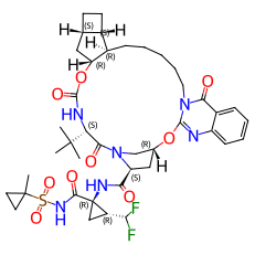 CC(C)(C)[C@@H]1NC(=O)O[C@@H]2C[C@@H]3CC[C@@H]3[C@H]2CCCCCn2c(nc3ccccc3c2=O)O[C@@H]2C[C@@H](C(=O)N[C@]3(C(=O)NS(=O)(=O)C4(C)CC4)C[C@H]3C(F)F)N(C2)C1=O